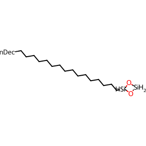 CCCCCCCCCCCCCCCCCCCCCCCCCC[SiH]1O[SiH2]O1